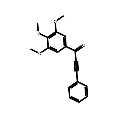 COc1cc(C(=O)C#Cc2ccccc2)cc(OC)c1OC